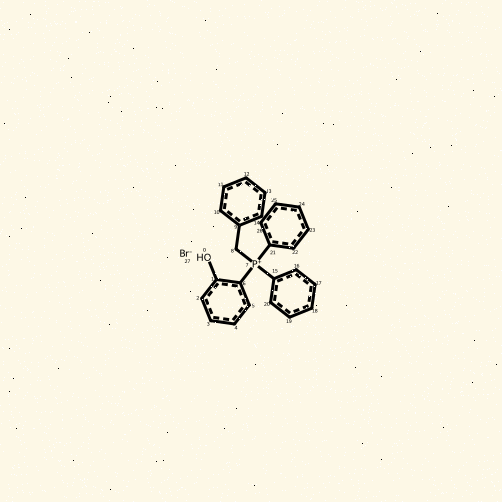 Oc1ccccc1[P+](Cc1ccccc1)(c1ccccc1)c1ccccc1.[Br-]